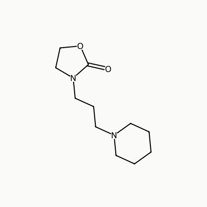 O=C1OCCN1CCCN1CCCCC1